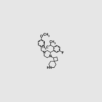 COc1ccc(CN2CCN(C3CCC34CCNCC4)C(c3cc(F)ccc3C(C)C)C2)cc1